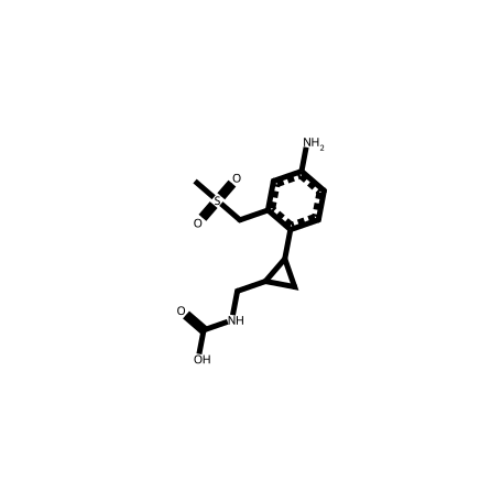 CS(=O)(=O)Cc1cc(N)ccc1C1CC1CNC(=O)O